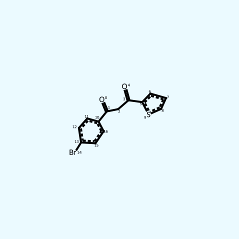 O=C(CC(=O)c1cccs1)c1ccc(Br)cc1